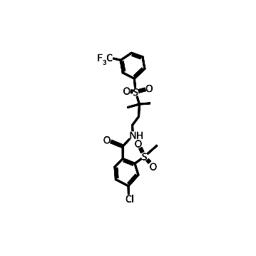 CC(C)(CCNC(=O)c1ccc(Cl)cc1S(C)(=O)=O)S(=O)(=O)c1cccc(C(F)(F)F)c1